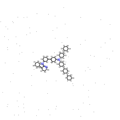 c1ccc(-c2ccc(-c3ccc(N(c4ccc(-c5ccccc5)cc4)c4ccc(-c5cccc(-n6c7ccccc7c7cccnc76)c5)cc4)cc3)cc2)cc1